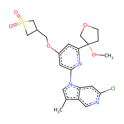 CO[C@@]1(c2cc(OCC3CS(=O)(=O)C3)cc(-n3cc(C)c4cnc(Cl)cc43)n2)CCOC1